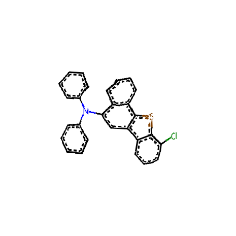 Clc1cccc2c1sc1c3ccccc3c(N(c3ccccc3)c3ccccc3)cc21